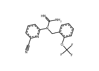 N#Cc1cccc(N(Cc2ccccc2OC(F)(F)F)C(=N)N)n1